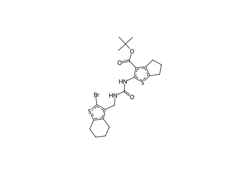 CC(C)(C)OC(=O)c1c(NC(=O)NCc2c(Br)sc3c2CCCC3)sc2c1CCC2